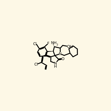 C=C/C(Cl)=C\C=C1CNC(=O)C12[C@@H](c1cccc(Cl)c1F)[C@H](N)C(CO)N2CC1CCCCC1